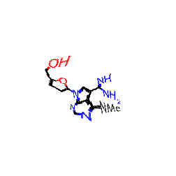 CNc1ncnc2c1c(C(=N)N)cn2C1CCC(CO)O1